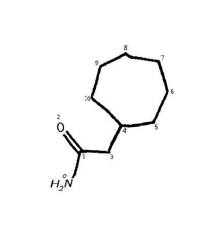 NC(=O)CC1CCCCCC1